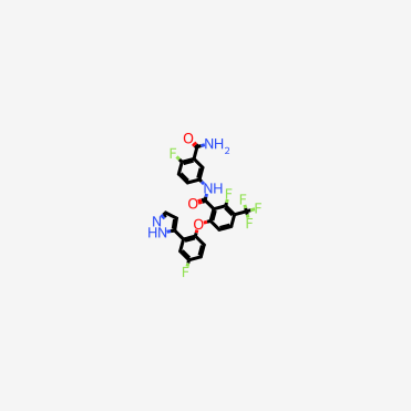 NC(=O)c1cc(NC(=O)c2c(Oc3ccc(F)cc3-c3ccn[nH]3)ccc(C(F)(F)F)c2F)ccc1F